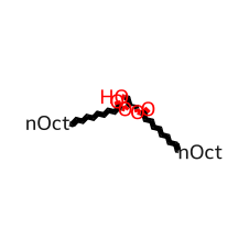 CCCCCCCC/C=C/CCCCCCCC(=O)OC[C@H](CO)OC(=O)CCCCCCC/C=C/CCCCCCCC